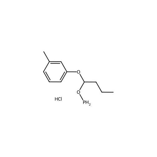 CCCC(OP)Oc1cccc(C)c1.Cl